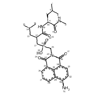 CNC(=O)[C@H](CC(C)C)NC(=O)C(CC(C)C)CP(=O)(O)CN1C(=O)c2cccc3c(N)ccc(c23)C1=O